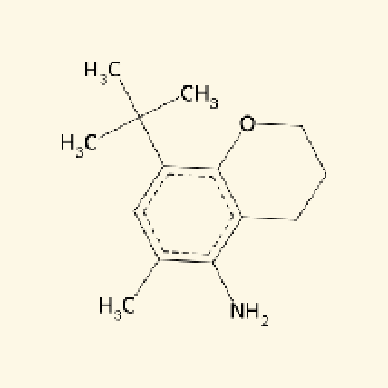 Cc1cc(C(C)(C)C)c2c(c1N)CCCO2